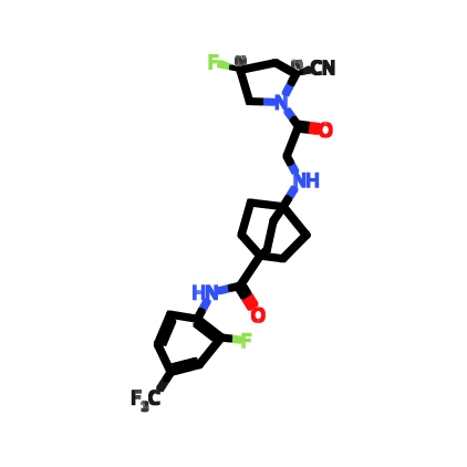 N#C[C@@H]1C[C@H](F)CN1C(=O)CNC12CCC(C(=O)Nc3ccc(C(F)(F)F)cc3F)(CC1)CC2